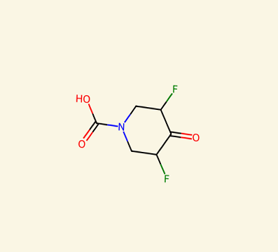 O=C1C(F)CN(C(=O)O)CC1F